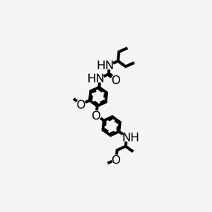 CCC(CC)NC(=O)Nc1ccc(Oc2ccc(NC(C)COC)cc2)c(OC)c1